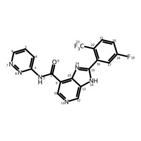 O=C(Nc1cccnn1)c1cncc2[nH]c(-c3cc(F)ccc3C(F)(F)F)nc12